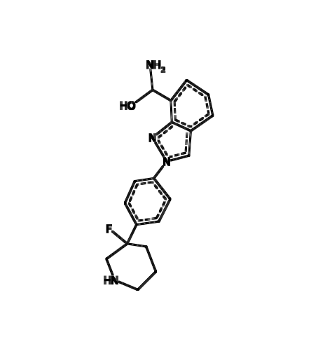 NC(O)c1cccc2cn(-c3ccc(C4(F)CCCNC4)cc3)nc12